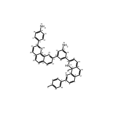 Cc1ccc(-c2ccc3c(n2)C2(C)NC(c4cc(N)cc(-c5ccc6ccc7ccc(-c8ccc(N)cc8)nc7c6n5)c4)=CC=C2C=C3)cc1